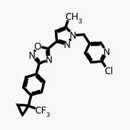 Cc1cc(-c2nc(-c3ccc(C4(C(F)(F)F)CC4)cc3)no2)nn1Cc1ccc(Cl)nc1